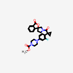 COC(=O)N1CCN(c2ccc(C3(C(=O)N4CCC5(C4)OC(=O)c4ccccc45)CC3)c(F)c2)CC1